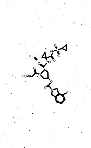 C=C[C@@H]1C[C@]1(NC(=O)[C@@H]1C[C@@H](OC(=O)N2Cc3cccc(F)c3C2)CN1C(=O)CN)C(=O)NS(=O)(=O)C1CC1